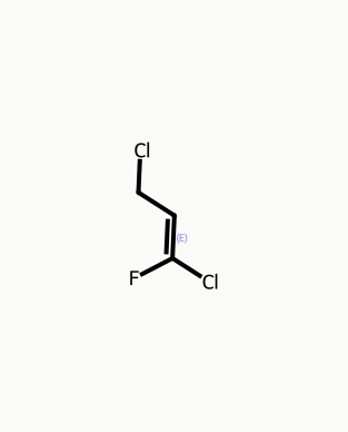 F/C(Cl)=C\CCl